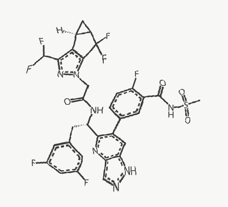 CS(=O)(=O)NC(=O)c1cc(-c2cc3[nH]ncc3nc2[C@H](Cc2cc(F)cc(F)c2)NC(=O)Cn2nc(C(F)F)c3c2C(F)(F)C2C[C@H]32)ccc1F